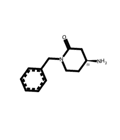 N[C@H]1CCN(Cc2ccccc2)C(=O)C1